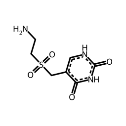 NCCS(=O)(=O)Cc1c[nH]c(=O)[nH]c1=O